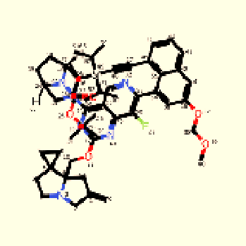 C=C1CN2CCC3(CC3)C2(COc2nc(N3C[C@H]4CC[C@@H](C3)N4C(=O)OC(C)(C)C)c3cnc(-c4cc(OCOC)cc5cccc(C#C[Si](C(C)C)(C(C)C)C(C)C)c45)c(F)c3n2)C1